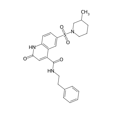 CC1CCCN(S(=O)(=O)c2ccc3[nH]c(=O)cc(C(=O)NCCc4ccccc4)c3c2)C1